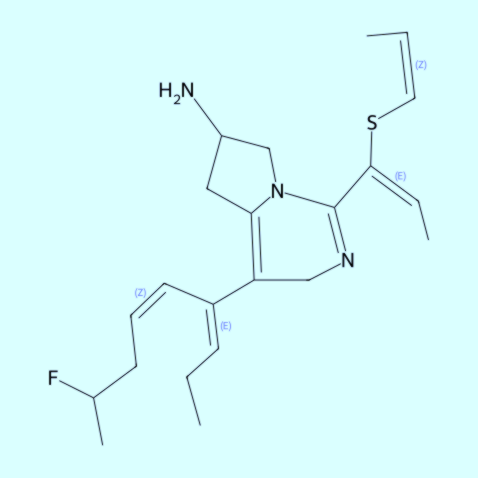 C/C=C\S/C(=C/C)C1=NCC(C(/C=C\CC(C)F)=C/CC)=C2CC(N)CN12